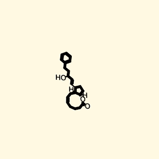 O=C1CCC/C=C\C[C@H]2[C@H](CC[C@@H]2/C=C/[C@@H](O)CCc2ccccc2)O1